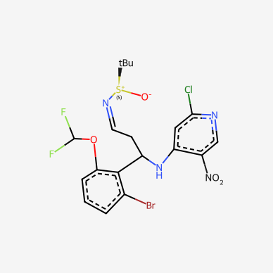 CC(C)(C)[S@@+]([O-])N=CCC(Nc1cc(Cl)ncc1[N+](=O)[O-])c1c(Br)cccc1OC(F)F